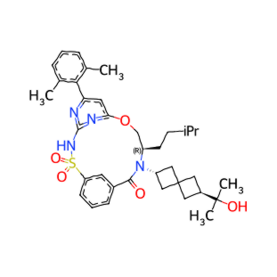 Cc1cccc(C)c1-c1cc2nc(n1)NS(=O)(=O)c1cccc(c1)C(=O)N([C@H]1CC3(C1)C[C@H](C(C)(C)O)C3)[C@H](CCC(C)C)CO2